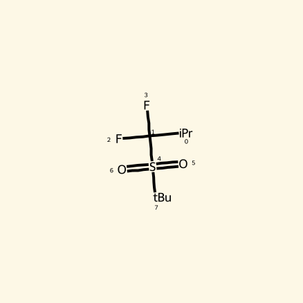 CC(C)C(F)(F)S(=O)(=O)C(C)(C)C